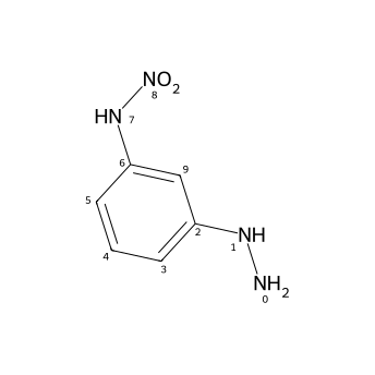 NNc1cccc(N[N+](=O)[O-])c1